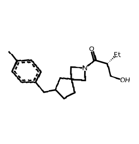 CC[C@H](CO)C(=O)N1CC2(CCC(Cc3ccc(C)cc3)C2)C1